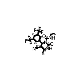 CCNC(=O)N1C(=O)NC(C)=C(C#N)C1c1cc(C(F)(F)F)cc(C(F)(F)F)c1